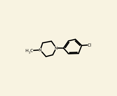 CN1CCN(c2[c]cc(Cl)cc2)CC1